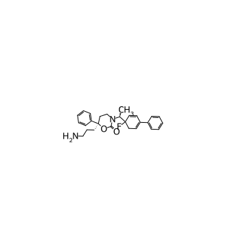 C[C@H](N1CC[C@](CCCN)(c2ccccc2)OC1=O)C1(F)C=CC(c2ccccc2)=CC1